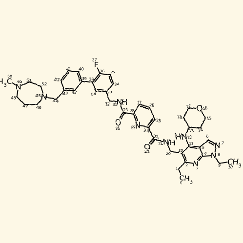 CCc1nc2c(cnn2CC)c(NC2CCOCC2)c1CNC(=O)c1cccc(C(=O)NCc2ccc(F)c(-c3cccc(CN4CCCN(C)CC4)c3)c2)n1